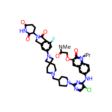 CNC(=O)COc1cc2cc(Nc3nc(N4CCC(CN5CCC6(CC5)CN(c5cc(F)c7c(c5)CN(C5CCC(=O)NC5=O)C7=O)C6)CC4)ncc3Cl)ccc2n(C(C)C)c1=O